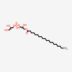 CCCCCCCCCCCCCCCCCCCC(=O)OC[C@@H](O)COP(=O)(O)OC[C@@H](O)CO